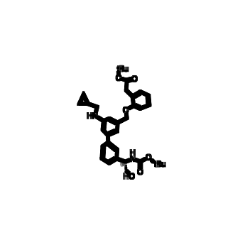 CC(C)(C)OC(=O)Cc1ccccc1OCc1cc(NCC2CC2)cc(-c2cccc([C@@H](CO)NC(=O)OC(C)(C)C)c2)c1